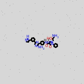 Cc1c(C(=O)Nc2ccc(-c3nc(-c4cccc(-c5ccn[nH]5)c4)cnc3N)cc2)c(=O)n(-c2ccccc2)n1CC(O)CN